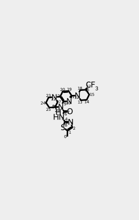 Cc1cnc(NC(=O)N2c3nc(N4CCCC(C(F)(F)F)C4)ccc3N3CCC[C@@H]2C3)s1